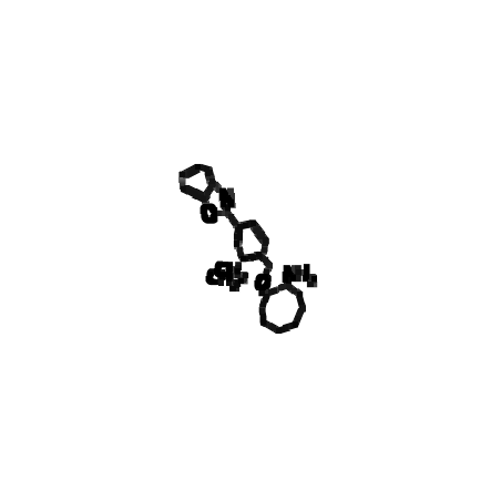 NC1CCCCCC[C]1OCc1ccc(-c2nc3ccccc3o2)cc1.[CH2].[CH2]